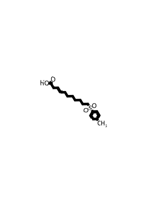 Cc1ccc(S(=O)(=O)CCCCCCCCCCC(=O)O)cc1